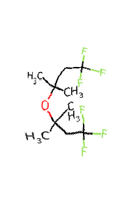 CC(C)(CC(F)(F)F)OC(C)(C)CC(F)(F)F